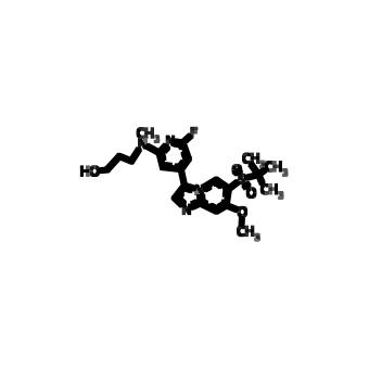 COc1cc2ncc(-c3cc(F)nc(N(C)CCCO)c3)n2cc1S(=O)(=O)C(C)(C)C